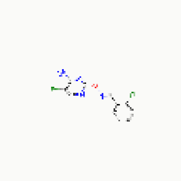 Nc1nc(O/N=C/c2ccccc2Cl)ncc1F